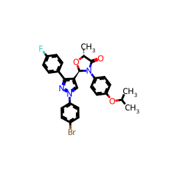 CC(C)Oc1ccc(N2C(=O)[C@@H](C)O[C@@H]2c2cn(-c3ccc(Br)cc3)nc2-c2ccc(F)cc2)cc1